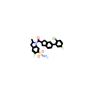 CC1Cc2cc(F)c(S(N)(=O)=O)cc2N1C(=O)C1Cc2ccc(-c3cc(F)ccc3Cl)cc2C1